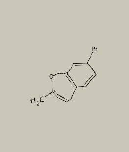 [CH2]c1cc2ccc(Br)cc2o1